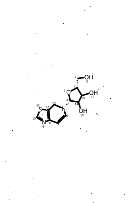 OC[C@H]1O[C@@H](N2C=Cc3ncsc3C2)C(O)C1O